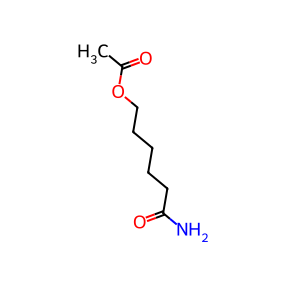 CC(=O)OCCCCCC(N)=O